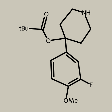 COc1ccc(C2(OC(=O)C(C)(C)C)CCNCC2)cc1F